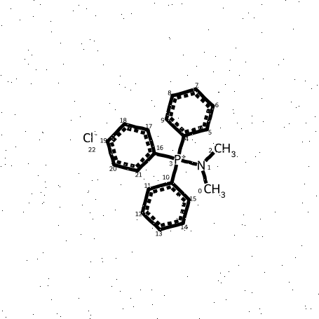 CN(C)[P+](c1ccccc1)(c1ccccc1)c1ccccc1.[Cl-]